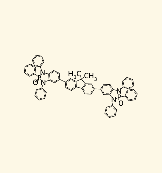 CC1(C)c2cc(-c3ccc4c(c3)N(c3ccccc3)P(=O)(c3ccccc3)N4c3ccccc3)ccc2-c2ccc(-c3ccc4c(c3)N(c3ccccc3)P(=O)(c3ccccc3)N4c3ccccc3)cc21